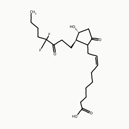 CCCCC(F)(F)C(=O)CC[C@@H]1C(C/C=C\CCCCCC(=O)O)C(=O)C[C@H]1O